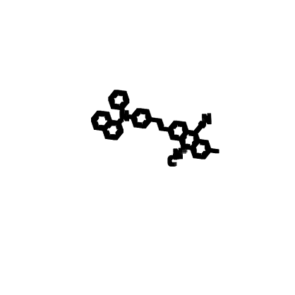 [C-]#[N+]c1c2ccc(C)cc2c(C#N)c2ccc(C=Cc3ccc(N(c4ccccc4)c4cccc5ccccc45)cc3)cc12